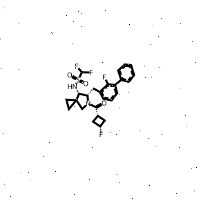 O=C([C@H]1C[C@@H](F)C1)N1CC2(CC2)[C@H](NS(=O)(=O)C(F)F)[C@@H]1Cc1cccc(-c2ccccc2)c1F